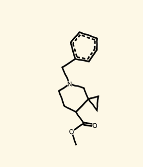 COC(=O)C1CCN(Cc2ccccc2)CC12CC2